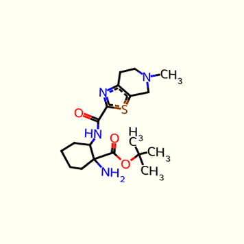 CN1CCc2nc(C(=O)NC3CCCCC3(N)C(=O)OC(C)(C)C)sc2C1